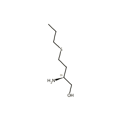 CCCSCC[C@H](N)CO